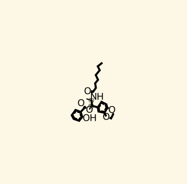 CCCCCCCC(=O)N[C@H](C)[C@H](OC(=O)c1ccccc1O)c1ccc2c(c1)OCCO2